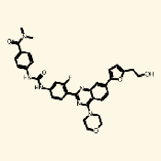 CN(C)C(=O)c1ccc(NC(=O)Nc2ccc(-c3nc(N4CCOCC4)c4ccc(-c5ccc(CCO)o5)cc4n3)c(F)c2)cc1